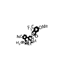 CCNc1cc(-c2ccc(C#N)cc2-c2nncn2C)cc(N2Cc3c(cc(OC)cc3C(F)(F)F)C2=O)n1